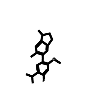 COc1cc(F)c(C(C)C)cc1-c1cc2c(cc1C)C(C)CC2